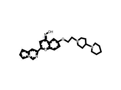 O/N=c1/cc(-c2cc3cccn3cn2)oc2ccc(OCCN3CCC(N4CCCCC4)CC3)cc12